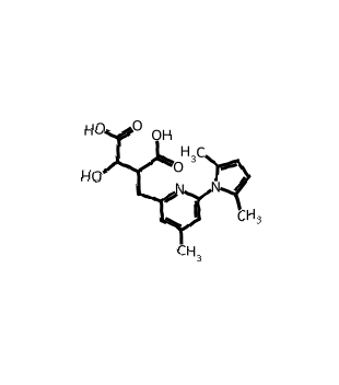 Cc1cc(CC(C(=O)O)C(O)C(=O)O)nc(-n2c(C)ccc2C)c1